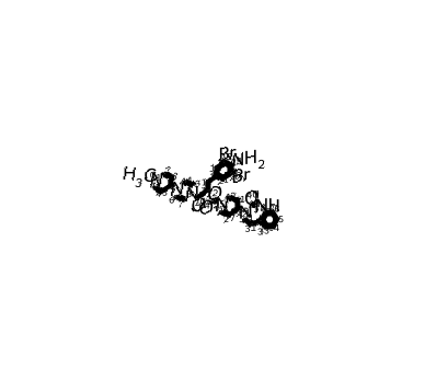 CN1CCC(N2CCN(C(=O)C(Cc3cc(Br)c(N)c(Br)c3)OC(=O)N3CCC(N4CCc5ccccc5NC4=O)CC3)CC2)CC1